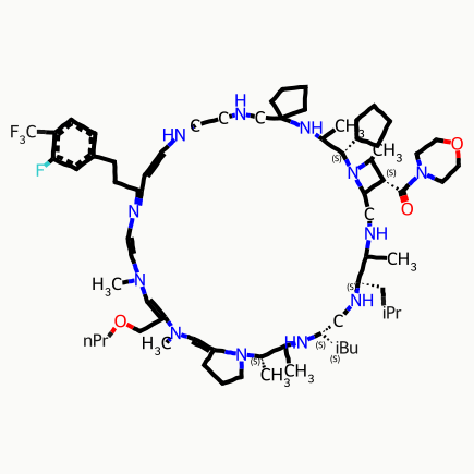 CCCOCC1=CN(C)C=CN=C(CCc2ccc(C(F)(F)F)c(F)c2)C=CNCCNCC2(CCCC2)NC(C)[C@H](C2CCCC2)N2C(C)[C@H](C(=O)N3CCOCC3)C2CNC(C)[C@H](CC(C)C)NC[C@H]([C@@H](C)CC)NC(C)[C@H](C)N2CCCC2=CN1C